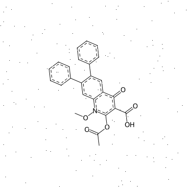 COn1c(OC(C)=O)c(C(=O)O)c(=O)c2cc(-c3ccccc3)c(-c3ccccc3)cc21